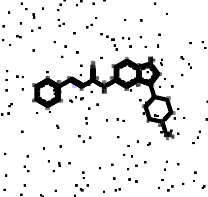 CN1CCC(c2c[nH]c3ccc(NC(=O)/C=C/c4ccccc4)cc23)CC1